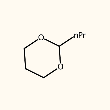 C[CH]CC1OCCCO1